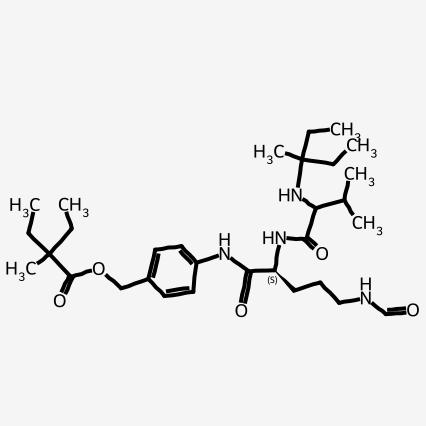 CCC(C)(CC)NC(C(=O)N[C@@H](CCCNC=O)C(=O)Nc1ccc(COC(=O)C(C)(CC)CC)cc1)C(C)C